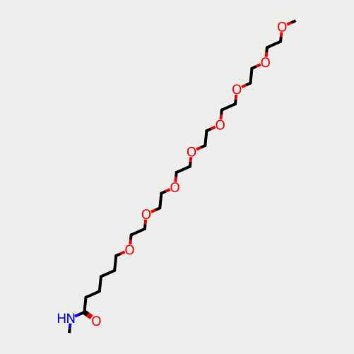 CNC(=O)CCCCCOCCOCCOCCOCCOCCOCCOCCOC